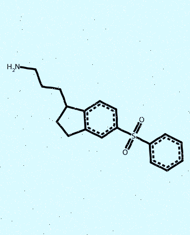 NCCCC1CCc2cc(S(=O)(=O)c3ccccc3)ccc21